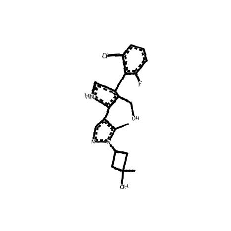 Cc1c(-c2[nH]cc(-c3c(F)cccc3Cl)c2CO)cnn1C1CC(C)(O)C1